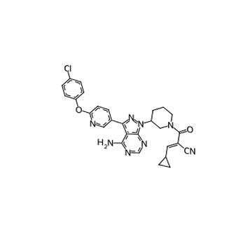 N#CC(=CC1CC1)C(=O)N1CCCC(n2nc(-c3ccc(Oc4ccc(Cl)cc4)nc3)c3c(N)ncnc32)C1